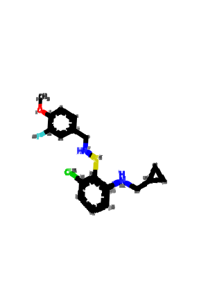 COc1ccc(CNSc2c(Cl)cccc2NCC2CC2)cc1F